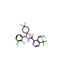 C=Cc1c(C(F)(F)F)ccnc1C(=O)NC(c1cccc(Cl)c1Cl)C1(O)CCC(F)(F)CC1